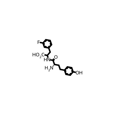 N[C@@H](CCc1ccc(O)cc1)C(=O)NC(Cc1cccc(F)c1)C(=O)O